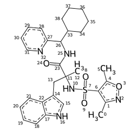 Cc1noc(C)c1S(=O)(=O)NC(C)(Cc1c[nH]c2ccccc12)C(=O)NC(c1ccccn1)C1CCCCC1